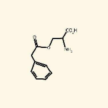 NC(COC(=O)Cc1ccccc1)C(=O)O